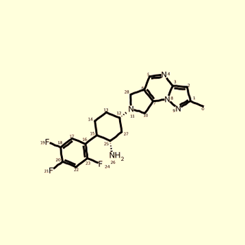 Cc1cc2ncc3c(n2n1)CN([C@H]1CCC(c2cc(F)c(F)cc2F)[C@@H](N)C1)C3